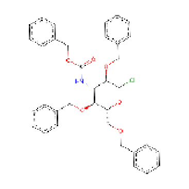 O=C(N[C@H]1[C@H](OCc2ccccc2)[C@@H](COCc2ccccc2)OC(Cl)[C@@H]1OCc1ccccc1)OCc1ccccc1